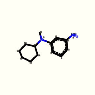 CN(c1cccc(N)c1)C1CCCCC1